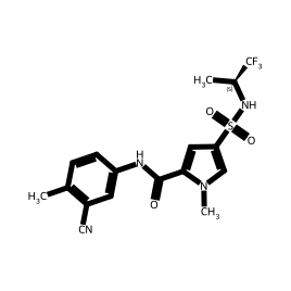 Cc1ccc(NC(=O)c2cc(S(=O)(=O)N[C@@H](C)C(F)(F)F)cn2C)cc1C#N